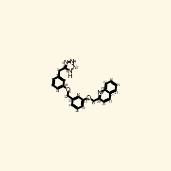 c1cc(Cc2nnn[nH]2)cc(OCc2cccc(OCc3ccc4ccccc4n3)c2)c1